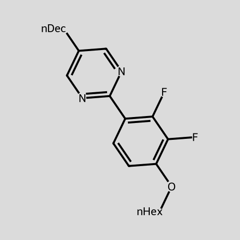 CCCCCCCCCCc1cnc(-c2ccc(OCCCCCC)c(F)c2F)nc1